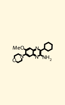 COc1cc2nc(C3CCCCC3)c(N)nc2cc1N1CCOCC1